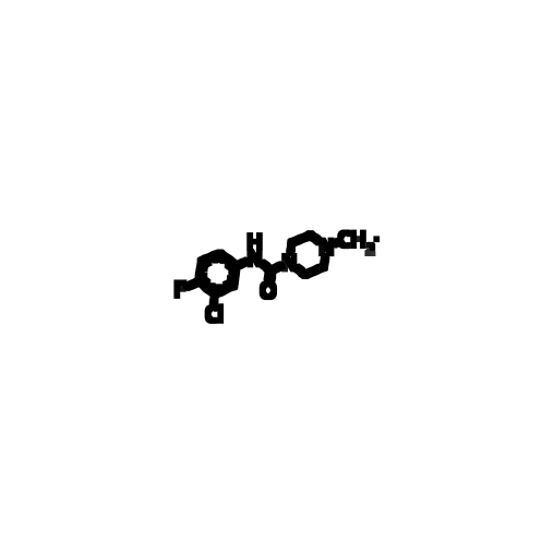 [CH2]N1CCN(C(=O)Nc2ccc(F)c(Cl)c2)CC1